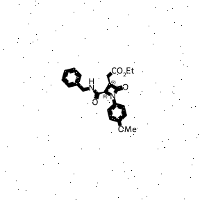 CCOC(=O)C[C@H]1C(=O)N(c2ccc(OC)cc2)[C@H]1C(=O)NCc1ccccc1